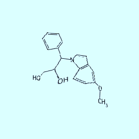 COc1ccc2c(ccn2C(c2ccccc2)C(O)CO)c1